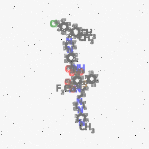 CN1CCC(N2CCN(CC[C@H](CSc3ccccc3)Nc3ccc(S(=O)(=O)NC(=O)c4ccc(N5CCN(CC6=C(c7ccc(Cl)cc7)CCC(C)(C)C6)CC5)cc4)cc3S(=O)(=O)C(F)(F)F)CC2)CC1